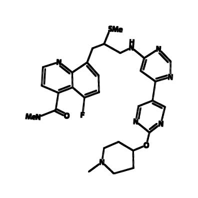 CNC(=O)c1ccnc2c(CC(CNc3cc(-c4cnc(OC5CCN(C)CC5)nc4)ncn3)SC)ccc(F)c12